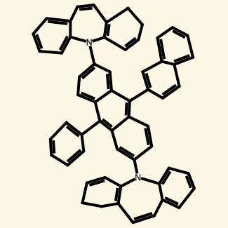 C1=CC2=C(C=Cc3ccccc3N2c2ccc3c(-c4ccc5ccccc5c4)c4cc(N5C6=C(C=Cc7ccccc75)CCC=C6)ccc4c(-c4ccccc4)c3c2)CC1